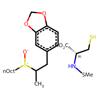 CCCCCCCC[S+]([O-])C(C)Cc1ccc2c(c1)OCO2.CSN[C@@H](CS)C(=O)O